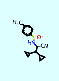 Cc1ccc([S@+]([O-])N[C@H](C#N)C(C2CC2)C2CC2)cc1